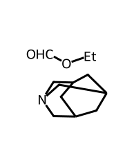 C1C2CC3CC1CN(C2)C3.CCOC=O